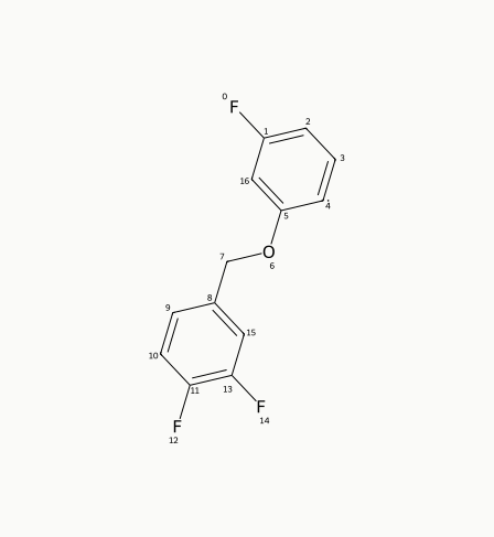 Fc1cc[c]c(OCc2ccc(F)c(F)c2)c1